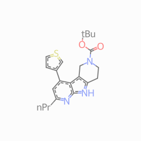 CCCc1cc(-c2ccsc2)c2c3c([nH]c2n1)CCN(C(=O)OC(C)(C)C)C3